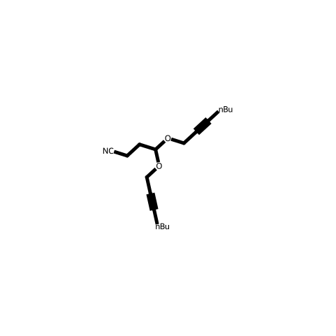 CCCCC#CCOC(CCC#N)OCC#CCCCC